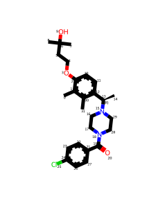 Cc1c(OCCC(C)(C)O)ccc([C@@H](C)N2CCN(C(=O)c3ccc(Cl)cc3)CC2)c1C